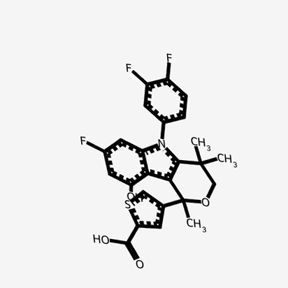 CC1(C)COC(C)(c2csc(C(=O)O)c2)c2c1n(-c1ccc(F)c(F)c1)c1cc(F)cc(O)c21